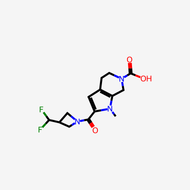 Cn1c(C(=O)N2CC(C(F)F)C2)cc2c1CN(C(=O)O)CC2